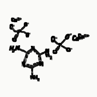 Nc1nc(N)nc(N)n1.O=P([O-])([O-])[O-].O=P([O-])([O-])[O-].[Ca+2].[Ca+2].[Ca+2]